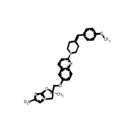 C[C@]1(COc2ccc3nc(N4CCC(=Cc5ccc(OC(F)(F)F)cc5)CC4)ccc3c2)Cn2cc([N+](=O)[O-])nc2O1